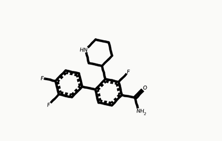 NC(=O)c1ccc(-c2ccc(F)c(F)c2)c(C2CCCNC2)c1F